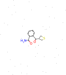 NC(=O)c1ccccc1C(=O)C1CSC1